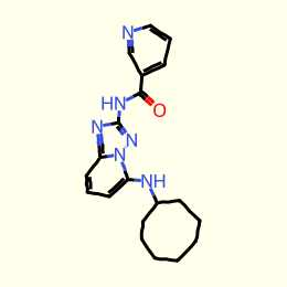 O=C(Nc1nc2cccc(NC3CCCCCCC3)n2n1)c1cccnc1